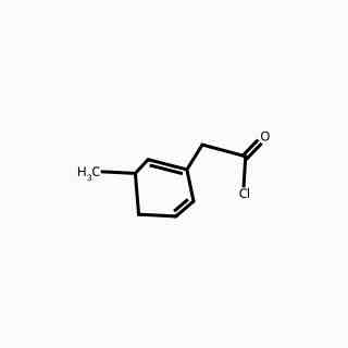 CC1C=C(CC(=O)Cl)C=CC1